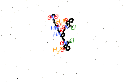 O=C(CCCCCN1C(=O)C=CC1=O)NCCC(=O)Nc1cc(C=CC(=O)N2C[C@@H](CCl)c3c2cc(OP)c2ccccc32)ccc1C=CC(=O)N1C[C@@H](CCl)c2c1cc(OP)c1ccccc21